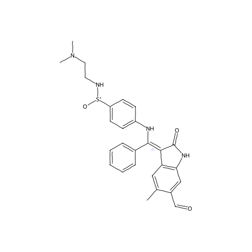 Cc1cc2c(cc1C=O)NC(=O)/C2=C(\Nc1ccc([S+]([O-])NCCN(C)C)cc1)c1ccccc1